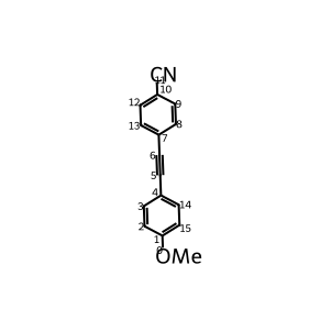 COc1ccc(C#Cc2ccc(C#N)cc2)cc1